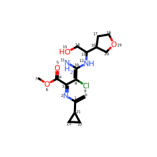 C=C(/N=C(C(=O)OC)\C(Cl)=C(/N)NC(CO)C1CCOC1)C1CC1